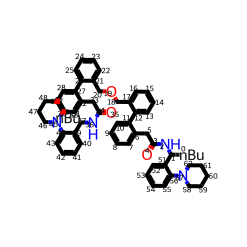 CCCCC(NC(=O)Cc1ccccc1-c1ccccc1COCc1ccccc1-c1ccccc1CC(=O)NC(CCCC)c1ccccc1N1CCCCC1)c1ccccc1N1CCCCC1